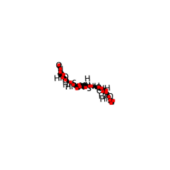 O=C=NCc1ccc(NC(=O)OCCCNC(=S)Nc2ccc3c(c2)Cc2cc(NC(=S)NCCCOC(=O)Nc4ccc(CNC(=O)Nc5ccccc5)cc4)ccc2-3)cc1